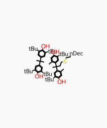 CC(C)(C)c1cc(C(C)(C)c2cc(C(C)(C)C)c(O)c(C(C)(C)C)c2)cc(C(C)(C)C)c1O.CCCCCCCCCCCCSCCC(C)(c1cc(C(C)(C)C)c(O)cc1C)c1cc(C(C)(C)C)c(O)cc1C